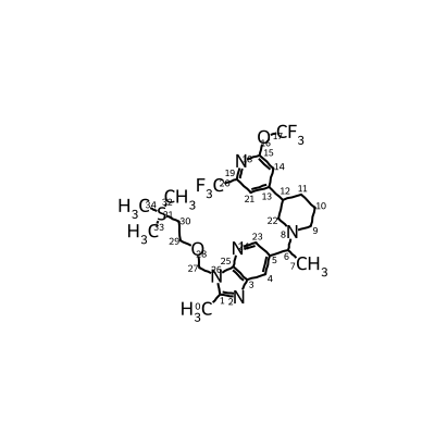 Cc1nc2cc(C(C)N3CCCC(c4cc(OC(F)(F)F)nc(C(F)(F)F)c4)C3)cnc2n1COCCS(C)(C)C